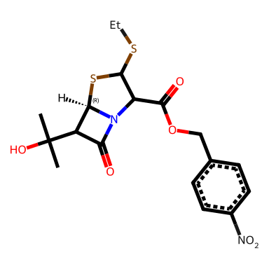 CCSC1S[C@@H]2C(C(C)(C)O)C(=O)N2C1C(=O)OCc1ccc([N+](=O)[O-])cc1